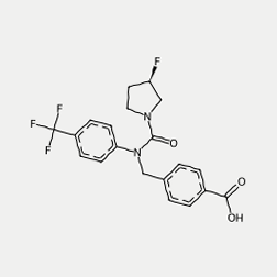 O=C(O)c1ccc(CN(C(=O)N2CC[C@@H](F)C2)c2ccc(C(F)(F)F)cc2)cc1